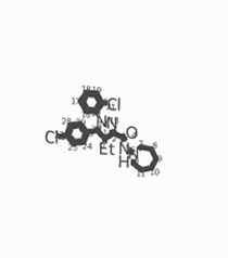 CCC1C(C(=O)NN2CCCCCC2)=NN(c2ccccc2Cl)C1c1ccc(Cl)cc1